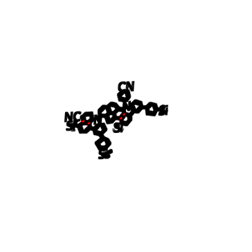 C[Si](C)(C)c1ccc(-c2ccc(N(C3=C4C=CC5=C6C(=CC=C(C=C3)C46)C(N(c3ccc(C#N)cc3)c3ccc(-c4ccc([Si](C)(C)C)cc4)cc3-c3ccc([Si](C)(C)C)cc3)C=C5)c3ccc(C#N)cc3)c(-c3ccc([Si](C)(C)C)cc3)c2)cc1